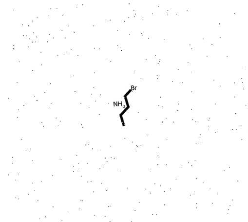 CCCCBr.N